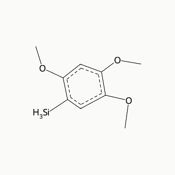 COc1cc(OC)c(OC)cc1[SiH3]